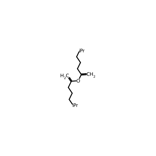 C=C(CCCC(C)C)OC(=C)CCCC(C)C